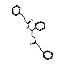 O=C(CCC(NC(=O)OCc1ccccc1)c1ccccc1)OCc1ccccc1